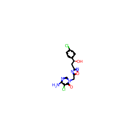 Nc1ncn(Cc2nc(C[C@H](O)c3ccc(Cl)cc3)no2)c(=O)c1Cl